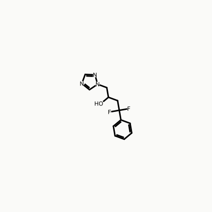 OC(Cn1cncn1)CC(F)(F)c1ccccc1